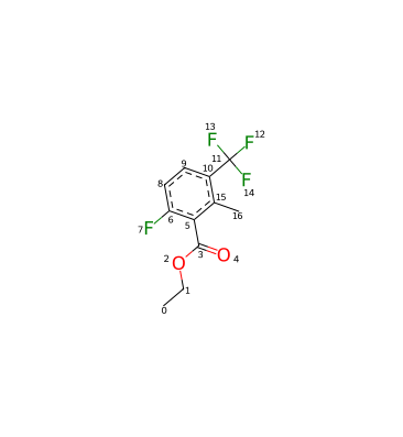 CCOC(=O)c1c(F)ccc(C(F)(F)F)c1C